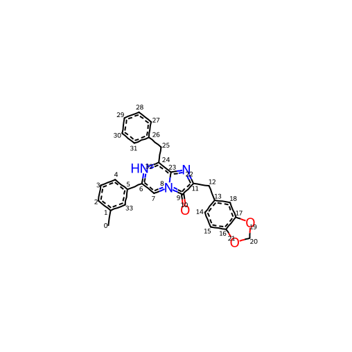 Cc1cccc(-c2cn3c(=O)c(Cc4ccc5c(c4)OCO5)nc-3c(Cc3ccccc3)[nH]2)c1